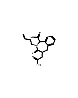 CCCCN1C(=O)C(CC(=O)O)Cc2ccccc2C1C(=O)O